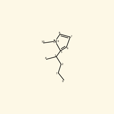 CCCC(C)c1cccn1C